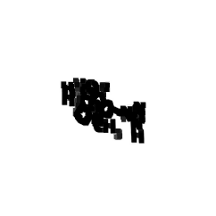 CN(c1ccccc1)c1cc(C#[N+]c2ncc[nH]2)cc2c1OC(C)(C)C(O)C2F